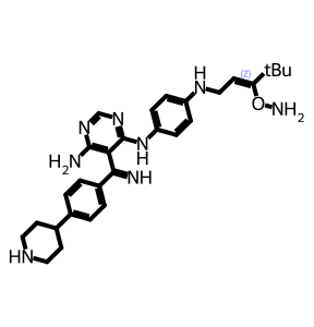 CC(C)(C)/C(=C/CNc1ccc(Nc2ncnc(N)c2C(=N)c2ccc(C3CCNCC3)cc2)cc1)ON